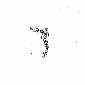 COC(=O)c1ccc(N2C(=O)CSC2=NC(=O)NCOc2ccc(-c3ncn(-c4ccc(OC(F)(F)F)cc4)n3)cc2)c(C)c1